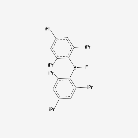 CC(C)c1cc(C(C)C)c(B(F)c2c(C(C)C)cc(C(C)C)cc2C(C)C)c(C(C)C)c1